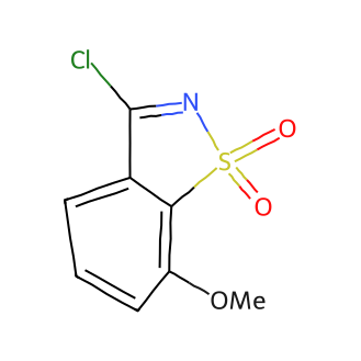 COc1cccc2c1S(=O)(=O)N=C2Cl